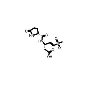 CS(=O)(=O)/C=C/[C@H](CC(=O)O)NC(=O)[C@H]1CCC(=O)N1